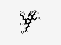 CCCCc1cc(C(CC)=C(CC)C(=O)O)cc(CCCC)c1O